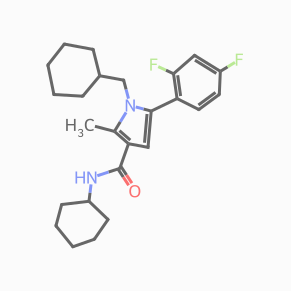 Cc1c(C(=O)NC2CCCCC2)cc(-c2ccc(F)cc2F)n1CC1CCCCC1